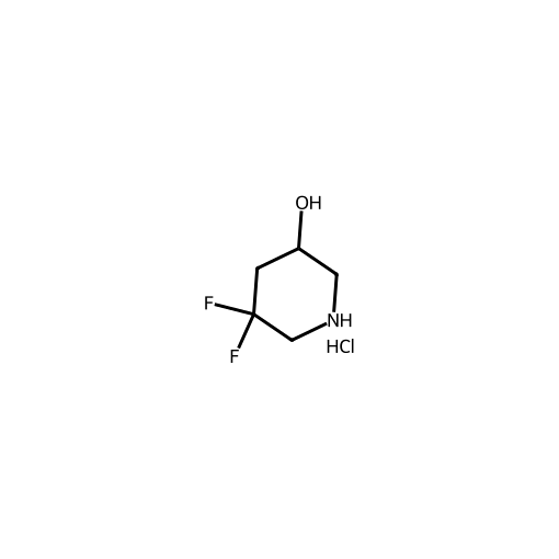 Cl.OC1CNCC(F)(F)C1